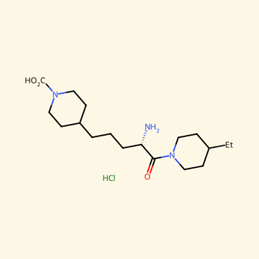 CCC1CCN(C(=O)[C@@H](N)CCCC2CCN(C(=O)O)CC2)CC1.Cl